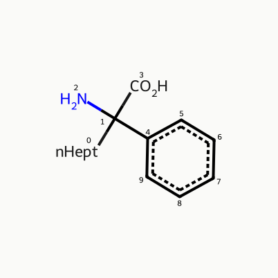 CCCCCCCC(N)(C(=O)O)c1ccccc1